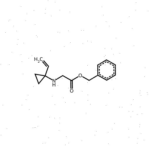 C=CC1(NCC(=O)OCc2ccccc2)CC1